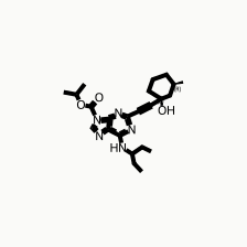 CCC(CC)Nc1nc(C#C[C@]2(O)CCC[C@@H](C)C2)nc2c1ncn2C(=O)OC(C)C